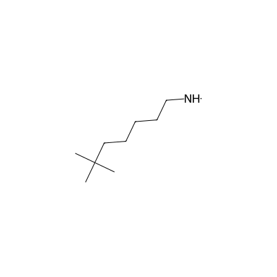 CC(C)(C)CCCCC[NH]